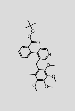 COc1c(C)c(Cc2cnccc2-c2ccccc2C(=O)OOC(C)(C)C)c(OC)c(OC)c1OC